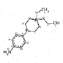 CC[N+]1(CCO)CCN(c2ccc(N)cc2)CC1